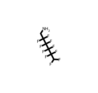 NCC(F)(F)C(F)(F)C(F)(F)C(F)(F)C(F)F